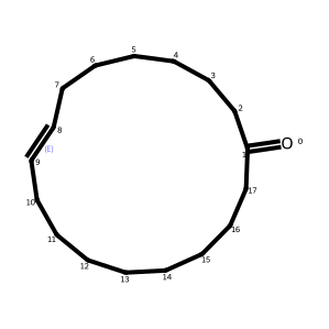 O=C1CCCCCC/C=C/CCCCCCCC1